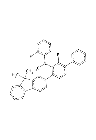 CN(c1ccccc1F)c1c(-c2ccc3c(c2)C(C)(C)c2ccccc2-3)ccc(-c2ccccc2)c1F